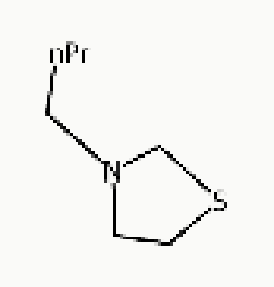 [CH2]CCCN1CCSC1